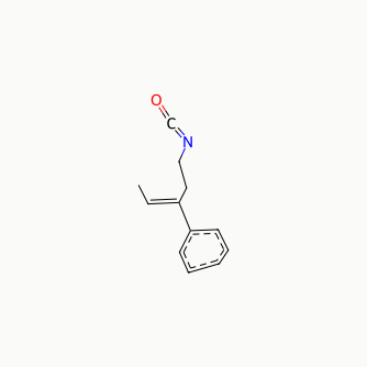 CC=C(CCN=C=O)c1ccccc1